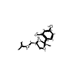 CC(C)OC[C@@H]1CO[C@@](C)(c2ccc(Cl)cc2Cl)O1